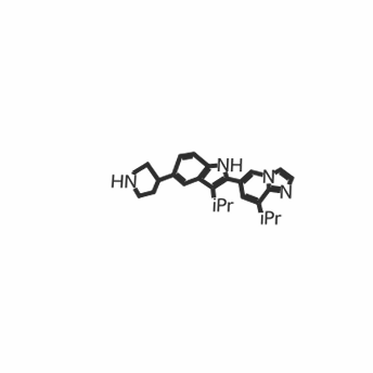 CC(C)c1c(-c2cc(C(C)C)c3nccn3c2)[nH]c2ccc(C3CCNCC3)cc12